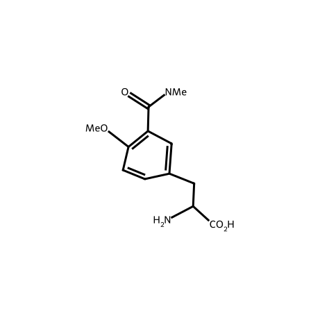 CNC(=O)c1cc(CC(N)C(=O)O)ccc1OC